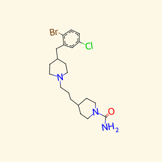 NC(=O)N1CCC(CCCN2CCC(Cc3cc(Cl)ccc3Br)CC2)CC1